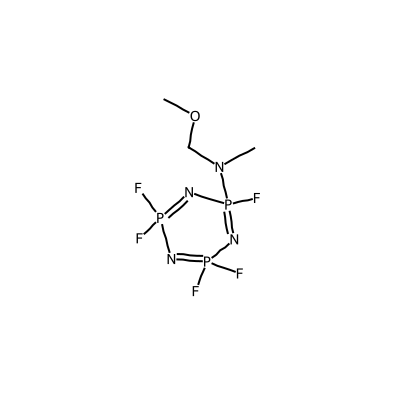 COCN(C)P1(F)=NP(F)(F)=NP(F)(F)=N1